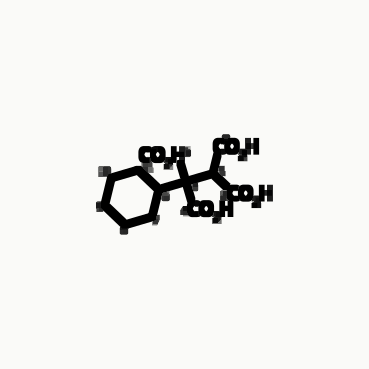 O=C(O)C(C(=O)O)C(C(=O)O)(C(=O)O)C1CCCCC1